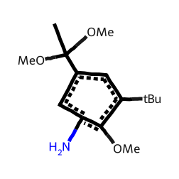 COc1c(N)cc(C(C)(OC)OC)cc1C(C)(C)C